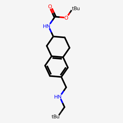 CC(C)(C)CNCc1ccc2c(c1)CCC(NC(=O)OC(C)(C)C)C2